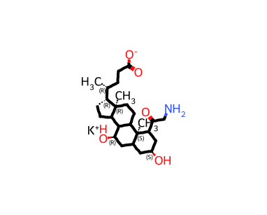 C[C@H](CCC(=O)[O-])[C@H]1CCC2C3C(CC[C@@]21C)[C@]1(C)C(C[C@H](O)CC1C(=O)CN)C[C@H]3O.[K+]